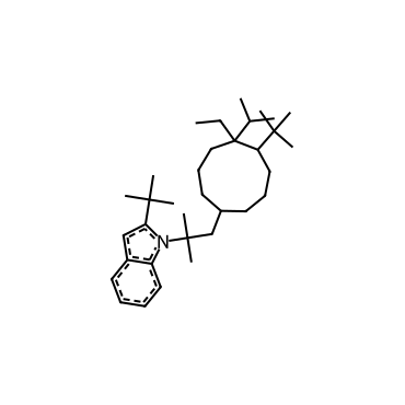 CCC1(C(C)C)CCCC(CC(C)(C)n2c(C(C)(C)C)cc3ccccc32)CCCC1C(C)(C)C